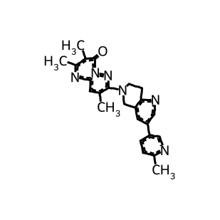 Cc1ccc(-c2cnc3c(c2)CN(c2nn4c(=O)c(C)c(C)nc4cc2C)CC3)cn1